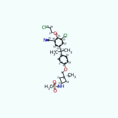 CC(C)(c1ccc(OC[C@]2(C)C[C@H](NS(C)(=O)=O)C2)cc1)c1cc(Cl)c(OCCCl)c(C#N)c1